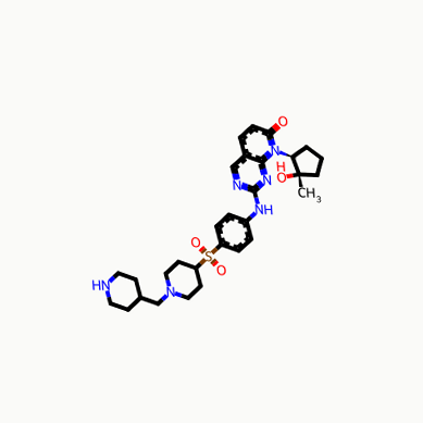 C[C@]1(O)CCC[C@@H]1n1c(=O)ccc2cnc(Nc3ccc(S(=O)(=O)C4CCN(CC5CCNCC5)CC4)cc3)nc21